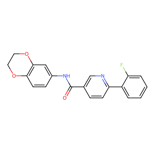 O=C(Nc1ccc2c(c1)OCCO2)c1ccc(-c2ccccc2F)nc1